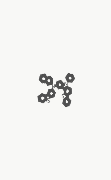 c1ccc(-n2c3ccc(N(c4ccc5ccccc5c4)c4ccc5sc6ccccc6c5c4)cc3c3c4sc5ccccc5c4ccc32)cc1